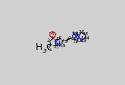 CC1CC(=O)c2cc(C#Cc3cn4ccccc4n3)cn2C1